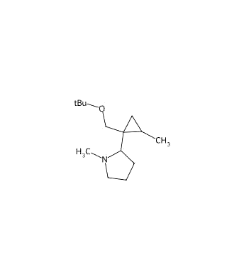 CC1CC1(COC(C)(C)C)C1CCCN1C